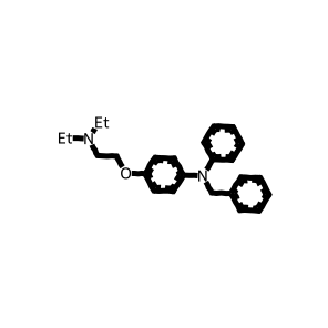 CCN(CC)CCOc1ccc(N(Cc2ccccc2)c2ccccc2)cc1